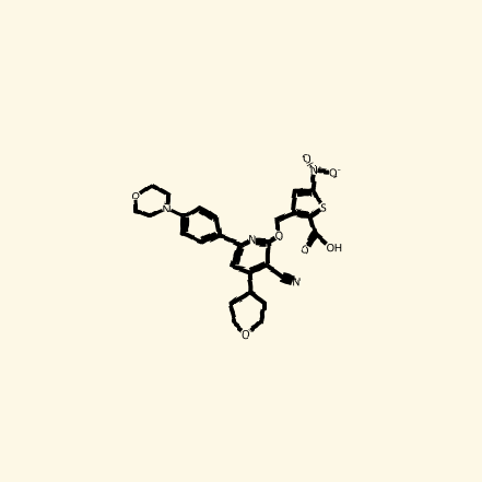 N#Cc1c(C2CCOCC2)cc(-c2ccc(N3CCOCC3)cc2)nc1OCc1cc([N+](=O)[O-])sc1C(=O)O